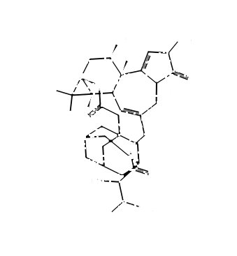 CC1C=C2[C@](O)(CC(COC(=O)C(N)C(C)C)=CC3[C@@H]4C(C)(C)[C@]4(OC(=O)CC45CC6CC(CC(C6)C4)C5)C[C@@H](C)[C@]23O)C1=O